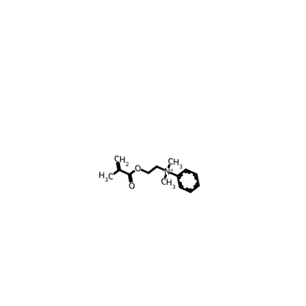 C=C(C)C(=O)OCC[N+](C)(C)c1ccccc1